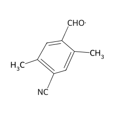 Cc1cc(C#N)c(C)cc1[C]=O